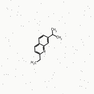 CCc1ccc2ccc(C(C)C)cc2n1